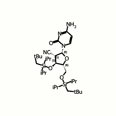 CC(C)[Si](CC(C)(C)C)(OC[C@H]1O[C@@H](n2ccc(N)nc2=O)[C@@H](C#N)[C@@H]1O[Si](CC(C)(C)C)(C(C)C)C(C)C)C(C)C